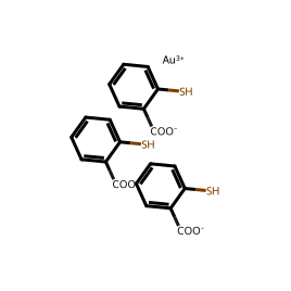 O=C([O-])c1ccccc1S.O=C([O-])c1ccccc1S.O=C([O-])c1ccccc1S.[Au+3]